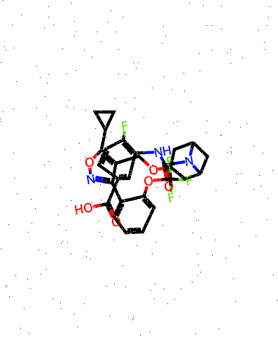 O=C(O)c1ccc(F)c(NC(=O)N2C3CC(OCc4c(-c5ccccc5OC(F)(F)F)noc4C4CC4)CC2C3)c1